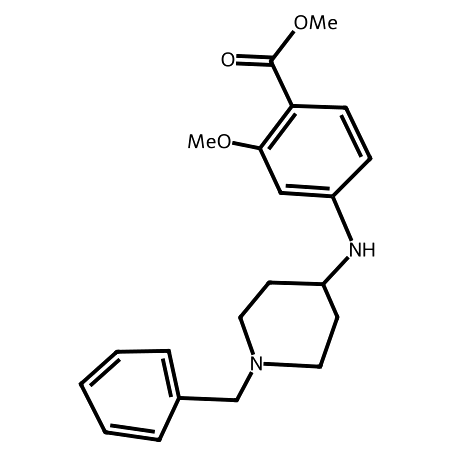 COC(=O)c1ccc(NC2CCN(Cc3ccccc3)CC2)cc1OC